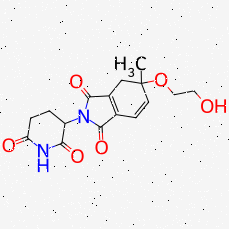 CC1(OCCO)C=CC2=C(C1)C(=O)N(C1CCC(=O)NC1=O)C2=O